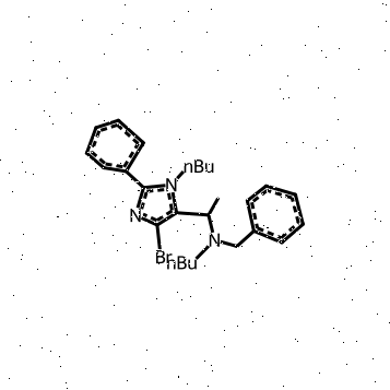 CCCCN(Cc1ccccc1)C(C)c1c(Br)nc(-c2ccccc2)n1CCCC